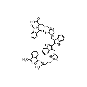 CC(=O)c1ccccc1C(=O)C[C@H](C)CCC[C@@H]1N[C@H](Cc2c(-c3[nH]c4ccccc4c3C[C@@H]3CS[C@H](CCCC(C(=O)O)N4C(=O)c5ccccc5C4=O)N3)[nH]c3ccccc23)CS1